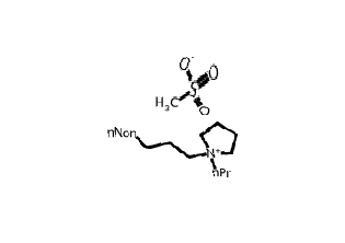 CCCCCCCCCCCC[N+]1(CCC)CCCC1.CS(=O)(=O)[O-]